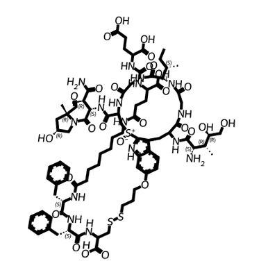 CC[C@H](C)[C@@H]1NC(=O)CNC(=O)C(NC(=O)[C@@H](N)[C@@H](C)[C@@H](O)CO)Cc2c([nH]c3cc(OCCCSSCC(NC(=O)[C@H](Cc4ccccc4)NC(=O)[C@H](Cc4ccccc4)NC(=O)CCCCCCCNC(=O)CCC(NC(=O)NC(CCC(=O)O)C(=O)O)C(=O)O)C(=O)O)ccc23)[S+]([O-])CC(C(=O)N[C@H](C(=O)N2C[C@H](O)C[C@]2(C)C=O)[C@@H](C)C(N)=O)NC(=O)CNC1=O